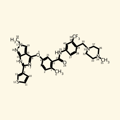 Cc1ccc(Oc2nc(-c3ccsc3)nc3nn(C)cc23)cc1C(=O)Nc1ccc(CN2CCN(C)CC2)c(C(F)(F)F)c1